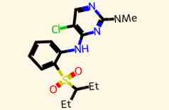 CCC(CC)S(=O)(=O)c1ccccc1Nc1nc(NC)ncc1Cl